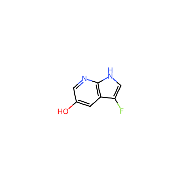 Oc1cnc2[nH]cc(F)c2c1